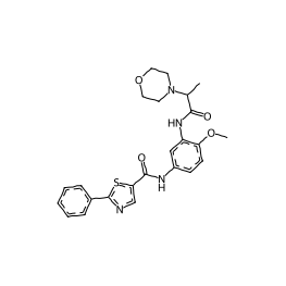 COc1ccc(NC(=O)c2cnc(-c3ccccc3)s2)cc1NC(=O)C(C)N1CCOCC1